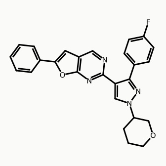 Fc1ccc(-c2nn(C3CCCOC3)cc2-c2ncc3cc(-c4ccccc4)oc3n2)cc1